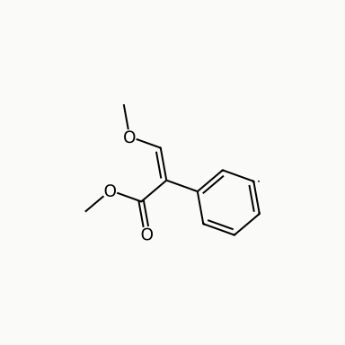 COC=C(C(=O)OC)c1c[c]ccc1